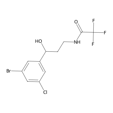 O=C(NCCC(O)c1cc(Cl)cc(Br)c1)C(F)(F)F